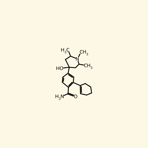 CC1CC(O)(c2ccc(C(N)=O)c(C3=CCCCC3)c2)CC(C)N1C